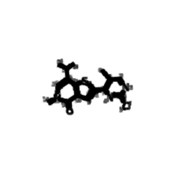 Cc1cnc(Cl)nc1-c1cc2c(=O)n(C)cc(C(C)C)c2s1